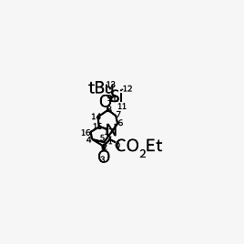 CCOC(=O)C1C(=O)C2CC3CC(O[Si](C)(C)C(C)(C)C)CC(C2)N31